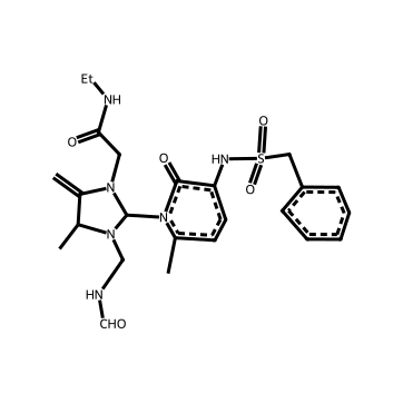 C=C1C(C)N(CNC=O)C(n2c(C)ccc(NS(=O)(=O)Cc3ccccc3)c2=O)N1CC(=O)NCC